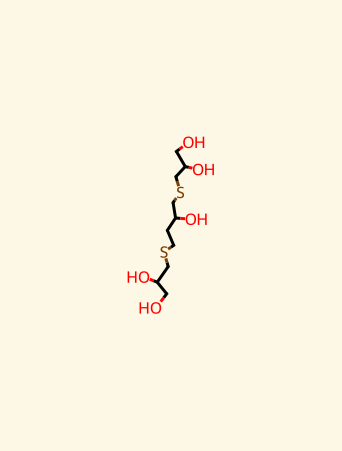 OCC(O)CSCCC(O)CSCC(O)CO